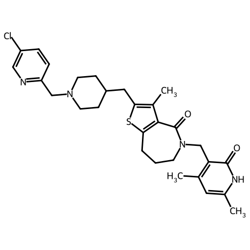 Cc1cc(C)c(CN2CCCc3sc(CC4CCN(Cc5ccc(Cl)cn5)CC4)c(C)c3C2=O)c(=O)[nH]1